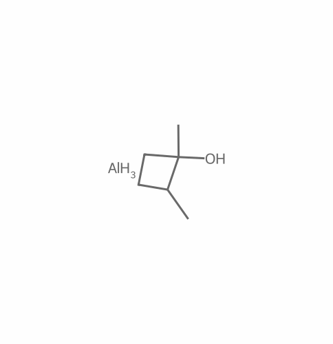 CC1CCC1(C)O.[AlH3]